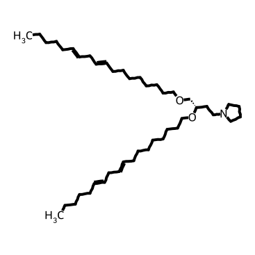 CCCCCC=CCC=CCCCCCCCCOC[C@H](CCN1CCCC1)OCCCCCCCCC=CCC=CCCCCC